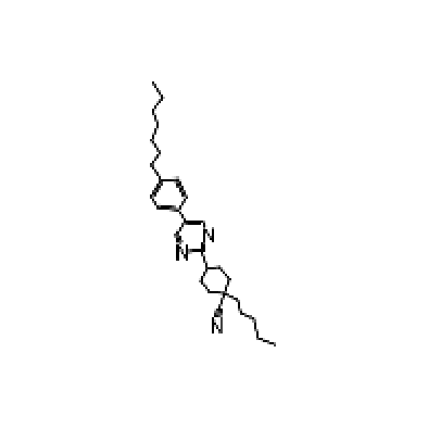 CCCCCCCc1ccc(-c2cnc(C3CCC(C#N)(CCCCC)CC3)nc2)cc1